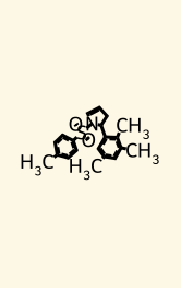 Cc1ccc(S(=O)(=O)N2C=CCC2c2cc(C)cc(C)c2C)cc1